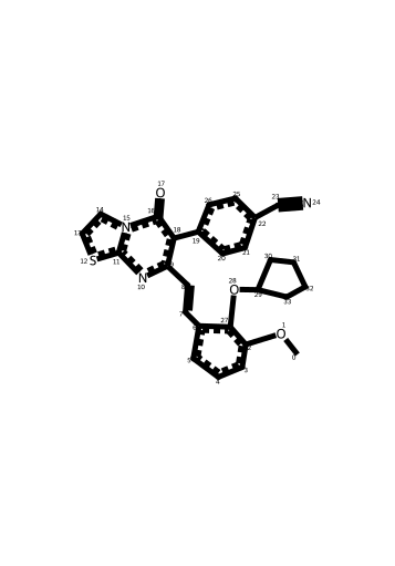 COc1cccc(C=Cc2nc3sccn3c(=O)c2-c2ccc(C#N)cc2)c1OC1CCCC1